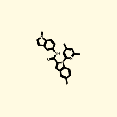 Cc1cc(C)nc(-n2c(C(=O)Nc3ccc4c(ccn4C)c3)cc3cc(F)ccc32)c1